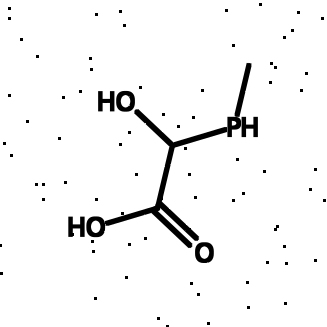 CPC(O)C(=O)O